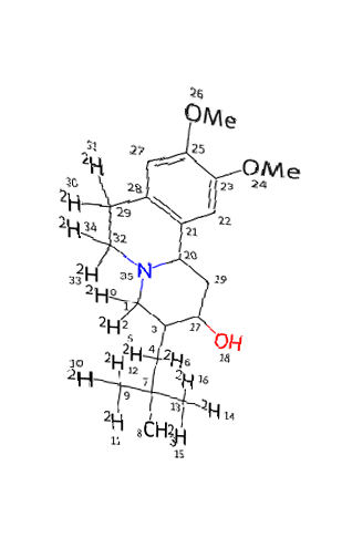 [2H]C1([2H])C(C([2H])([2H])C(C)(C([2H])([2H])[2H])C([2H])([2H])[2H])C(O)CC2c3cc(OC)c(OC)cc3C([2H])([2H])C([2H])([2H])N21